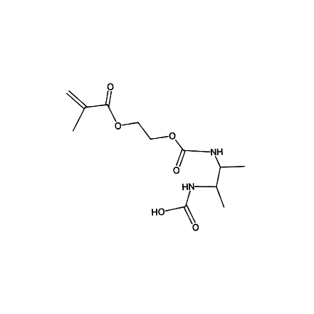 C=C(C)C(=O)OCCOC(=O)NC(C)C(C)NC(=O)O